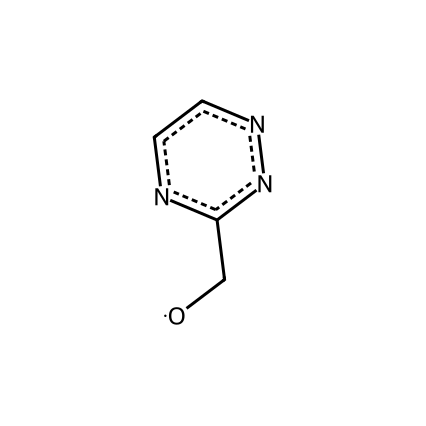 [O]Cc1nccnn1